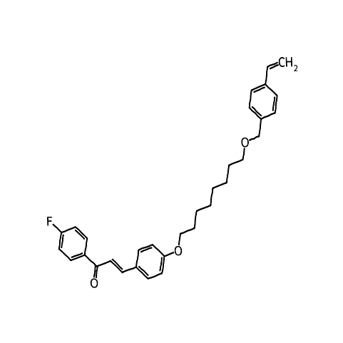 C=Cc1ccc(COCCCCCCCCOc2ccc(C=CC(=O)c3ccc(F)cc3)cc2)cc1